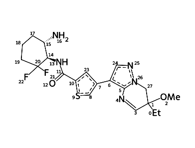 CCC1(OC)C=Nc2c(-c3csc(C(=O)N[C@@H]4[C@@H](N)CCCC4(F)F)c3)cnn2C1